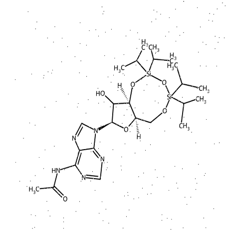 CC(=O)Nc1ncnc2c1ncn2[C@@H]1O[C@@H]2CO[Si](C(C)C)(C(C)C)O[Si](C(C)C)(C(C)C)O[C@@H]2C1O